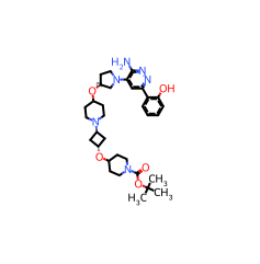 CC(C)(C)OC(=O)N1CCC(O[C@H]2C[C@H](N3CCC(O[C@H]4CCN(c5cc(-c6ccccc6O)nnc5N)C4)CC3)C2)CC1